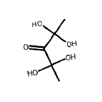 CC(O)(O)C(=O)C(C)(O)O